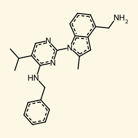 Cc1cc2c(CN)cccc2n1-c1ncc(C(C)C)c(NCc2ccccc2)n1